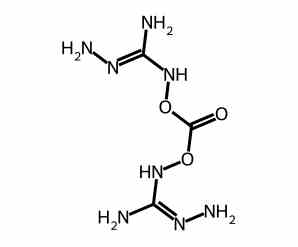 NN=C(N)NOC(=O)ONC(N)=NN